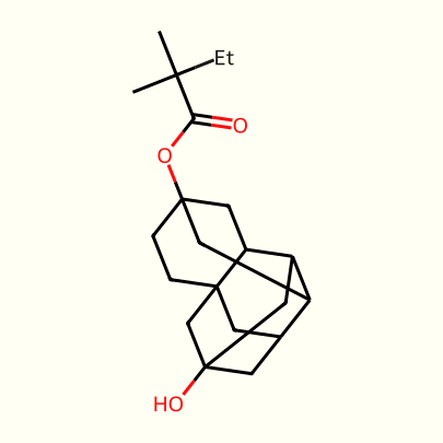 CCC(C)(C)C(=O)OC12CCC34CC5CC(O)(CC(C5C1)C3C2)C4